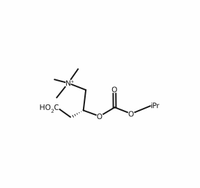 CC(C)OC(=O)O[C@H](CC(=O)O)C[N+](C)(C)C